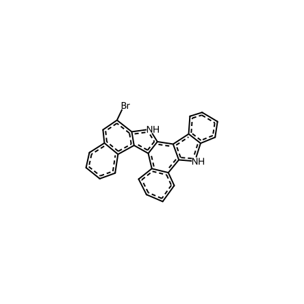 Brc1cc2ccccc2c2c1[nH]c1c3c4ccccc4[nH]c3c3ccccc3c12